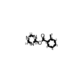 Cc1ccccc1C(=O)Oc1ncncn1